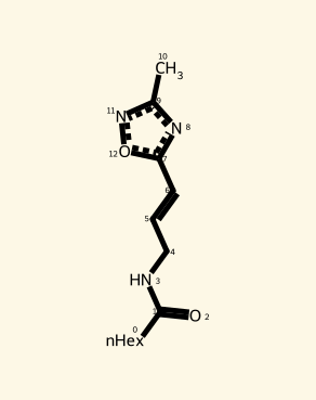 CCCCCCC(=O)NCC=Cc1nc(C)no1